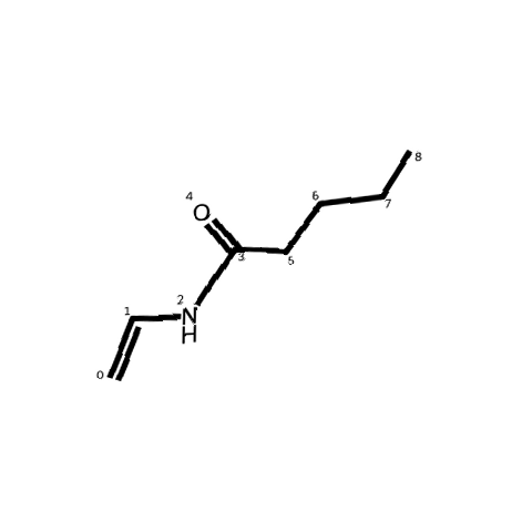 C=CNC(=O)CCCC